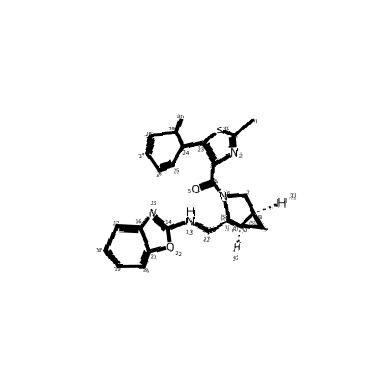 Cc1nc(C(=O)N2C[C@H]3C[C@H]3[C@H]2CNc2nc3ccccc3o2)c(C2C=CC=CC2C)s1